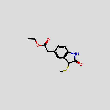 CCOC(=O)Cc1ccc2c(c1)C(SC)C(=O)N2